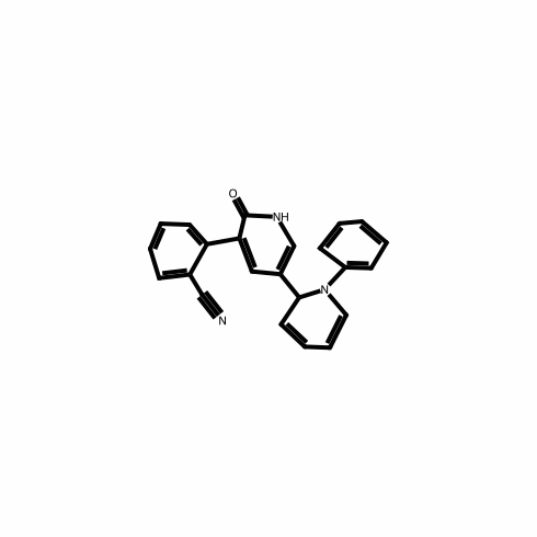 N#Cc1ccccc1-c1cc(C2C=CC=CN2c2ccccc2)c[nH]c1=O